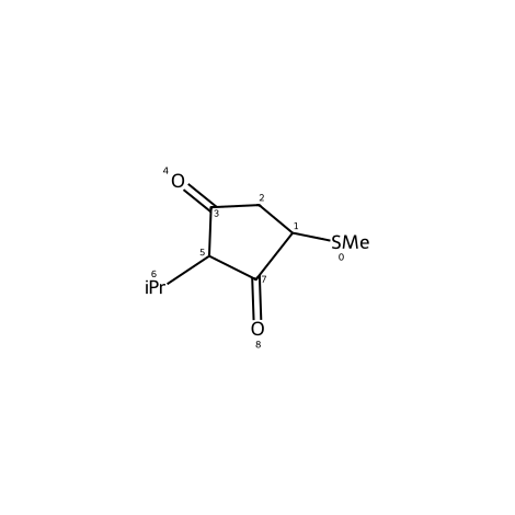 CSC1CC(=O)C(C(C)C)C1=O